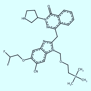 C[Si](C)(C)CCOCn1c(Cc2nn(C3CCNC3)c(=O)c3ccccc23)nc2cc(OCC(F)F)c(C#N)cc21